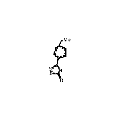 COc1ccc(-c2nc(=O)ss2)cc1